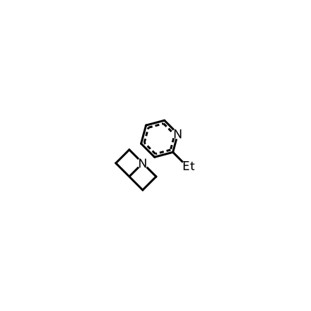 C1CN2CCC12.CCc1ccccn1